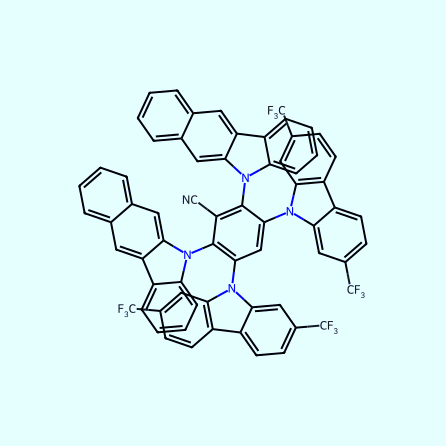 N#Cc1c(-n2c3ccccc3c3cc4ccccc4cc32)c(-n2c3cc(C(F)(F)F)ccc3c3ccc(C(F)(F)F)cc32)cc(-n2c3cc(C(F)(F)F)ccc3c3ccc(C(F)(F)F)cc32)c1-n1c2ccccc2c2cc3ccccc3cc21